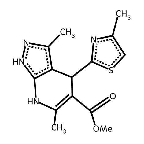 COC(=O)C1=C(C)Nc2[nH]nc(C)c2C1c1nc(C)cs1